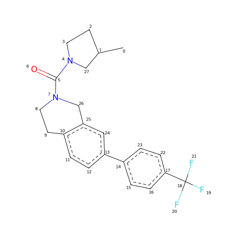 CC1CCN(C(=O)N2CCc3ccc(-c4ccc(C(F)(F)F)cc4)cc3C2)C1